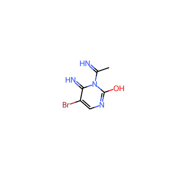 CC(=N)n1c(O)ncc(Br)c1=N